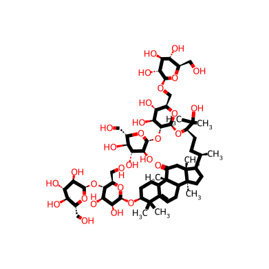 C[C@H](CC[C@@H](O[C@@H]1O[C@H](CO[C@@H]2O[C@H](CO)[C@@H](O)[C@H](O)[C@H]2O)[C@@H](O)[C@H](O)[C@H]1O[C@H]1O[C@@H](CO)[C@H](O)[C@@H](O)[C@@H]1O)C(C)(C)O)C1CC[C@@]2(C)C3CC=C4C(CC[C@H](O[C@@H]5O[C@H](CO)[C@@H](O[C@@H]6O[C@H](CO)[C@@H](O)[C@H](O)[C@H]6O)[C@H](O)[C@H]5O)C4(C)C)[C@]3(C)C(=O)C[C@]12C